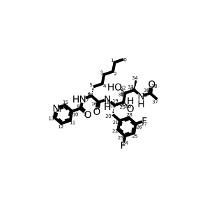 CCCCCC[C@@H](NC(=O)c1cccnc1)C(=O)N[C@@H](Cc1cc(F)cc(F)c1)[C@@H](O)[C@H](O)[C@@H](C)NC(C)=O